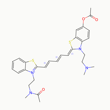 CC(=O)Oc1ccc2c(c1)S\C(=C/C=C/C=C/c1sc3ccccc3[n+]1CCN(C)C(C)=O)N2CCN(C)C